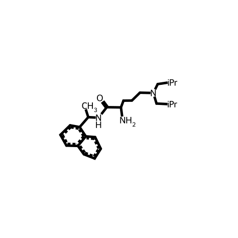 CC(C)CN(CCCC(N)C(=O)NC(C)c1cccc2ccccc12)CC(C)C